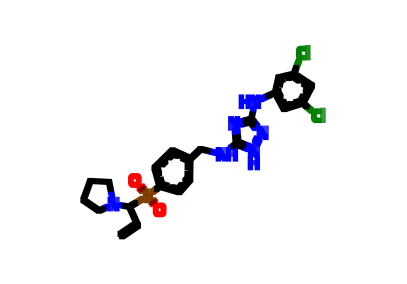 C=CC(N1CCCC1)S(=O)(=O)c1ccc(CNc2nc(Nc3cc(Cl)cc(Cl)c3)n[nH]2)cc1